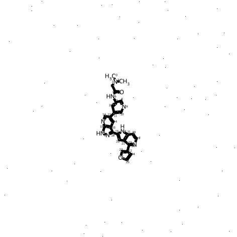 CN(C)CC(=O)Nc1cncc(-c2cnc3[nH]nc(-c4cc5c(-c6ccoc6)nccc5[nH]4)c3c2)c1